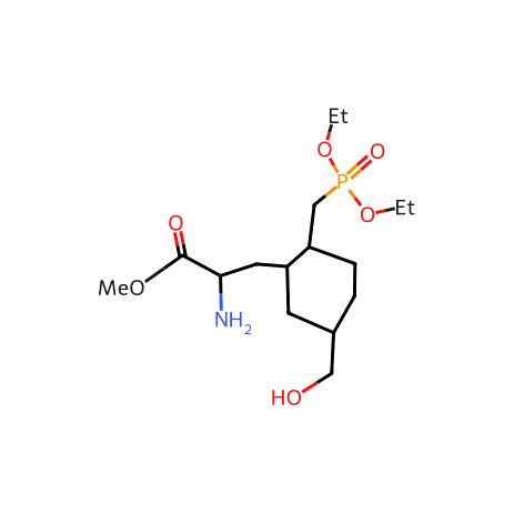 CCOP(=O)(CC1CCC(CO)CC1CC(N)C(=O)OC)OCC